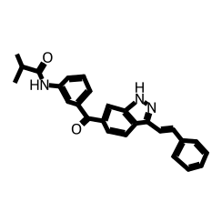 CC(C)C(=O)Nc1cccc(C(=O)c2ccc3c(/C=C/c4ccccc4)n[nH]c3c2)c1